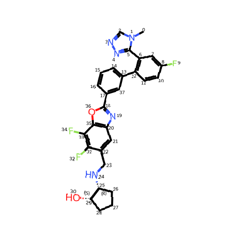 Cn1cnnc1-c1cc(F)ccc1-c1cccc(-c2nc3cc(CN[C@@H]4CCC[C@@H]4O)c(F)c(F)c3o2)c1